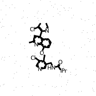 C/C=N\C(=C(/C)Cl)c1cc(C)nc2c(OCc3c(Cl)cncc3CNC(=O)C(C)C)cccc12